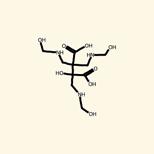 O=C(O)C(O)(CNCO)C(CNCO)(CNCO)C(=O)O